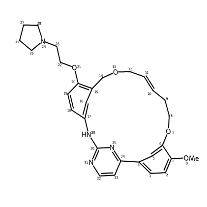 COc1ccc2cc1OCC/C=C/COCc1cc(ccc1OCCN1CCCC1)Nc1nccc-2n1